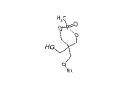 CCOCC1(CO)COP(C)(=O)OC1